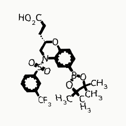 CC1(C)OB(c2ccc3c(c2)N(S(=O)(=O)c2cccc(C(F)(F)F)c2)C[C@H](CCC(=O)O)O3)OC1(C)C